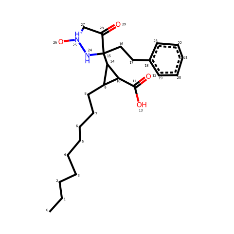 CCCCCCCCCC1C(C(=O)O)C1C1(CCc2ccccc2)N[NH+]([O-])CC1=O